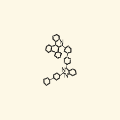 c1ccc(-c2ccc(-c3nc(-c4ccc(-c5cccc(-c6nc7ccccc7c7c8ccccc8c8ccccc8c67)c5)cc4)c4ccccc4n3)cc2)cc1